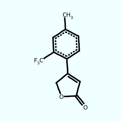 Cc1ccc(C2=CC(=O)OC2)c(C(F)(F)F)c1